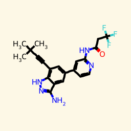 CC(C)(C)C#Cc1cc(-c2ccnc(NC(=O)CC(F)(F)F)c2)cc2c(N)n[nH]c12